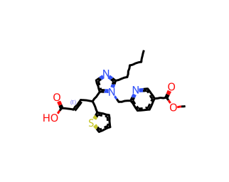 CCCCc1ncc(C(/C=C/C(=O)O)c2cccs2)n1Cc1ccc(C(=O)OC)cn1